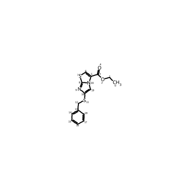 CCOC(=O)c1csc2nc(SCc3ccccc3)cn12